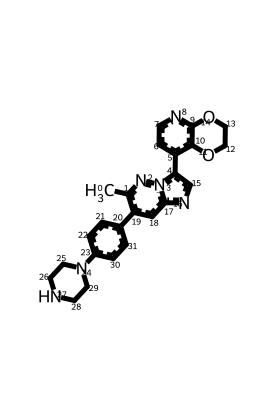 Cc1nn2c(-c3ccnc4c3OCCO4)cnc2cc1-c1ccc(N2CCNCC2)cc1